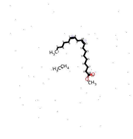 C.C.CCCCC/C=C\C/C=C\CCCCCCCC(=O)OC